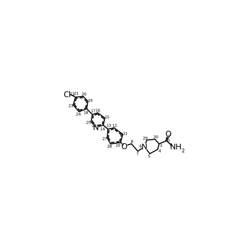 NC(=O)C1CCN(CCOc2ccc(-c3ccc(-c4ccc(Cl)cc4)cn3)cc2)CC1